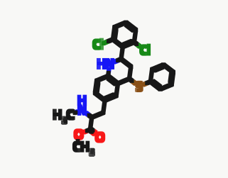 CNC(Cc1ccc2c(c1)C(Sc1ccccc1)CC(c1c(Cl)cccc1Cl)N2)C(=O)OC